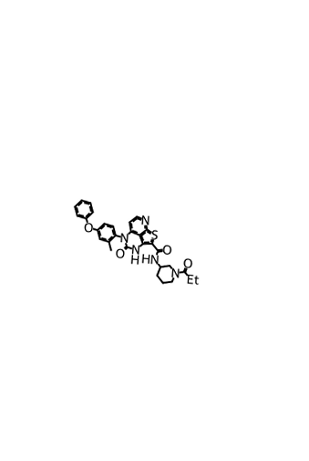 CCC(=O)N1CCCC(NC(=O)c2sc3nccc4c3c2NC(=O)N4c2ccc(Oc3ccccc3)cc2C)C1